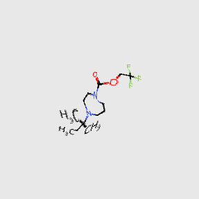 CC(C)(C)N1CCCN(C(=O)OCC(F)(F)F)CC1